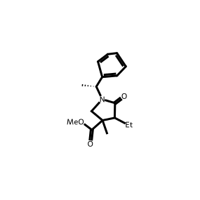 CCC1C(=O)N([C@H](C)c2ccccc2)CC1(C)C(=O)OC